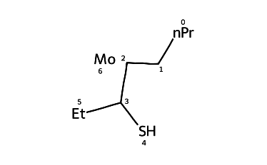 CCCCCC(S)CC.[Mo]